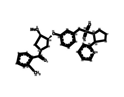 CO[C@@H]1CN(C(=O)c2ccccc2C)C[C@H]1Oc1cccc(CS(=O)(=O)N2CCCC2c2ccccn2)c1